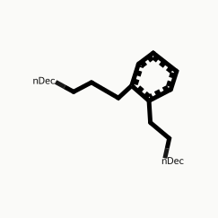 CCCCCCCCCCCCCc1ccccc1CCCCCCCCCCCC